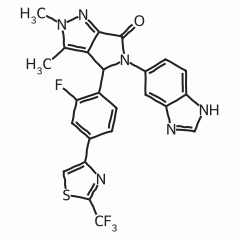 Cc1c2c(nn1C)C(=O)N(c1ccc3[nH]cnc3c1)C2c1ccc(-c2csc(C(F)(F)F)n2)cc1F